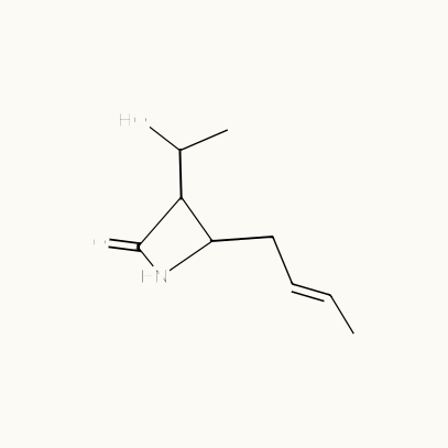 CC=CCC1NC(=O)C1C(C)O